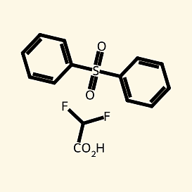 O=C(O)C(F)F.O=S(=O)(c1ccccc1)c1ccccc1